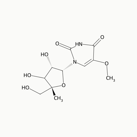 COc1cn([C@@H]2O[C@](C)(CO)C(O)[C@@H]2O)c(=O)[nH]c1=O